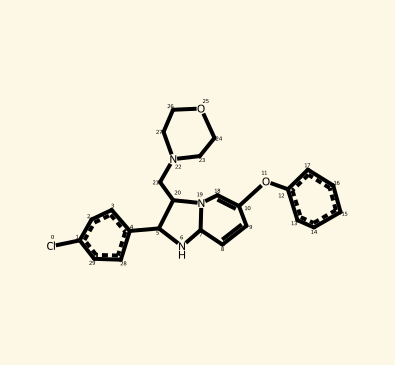 Clc1ccc(C2NC3C=CC(Oc4ccccc4)=CN3C2CN2CCOCC2)cc1